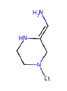 CCN1CCN/C(=C\N)C1